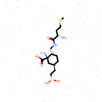 CSCC[C@H](N)C(=O)NC[C@@H]1CC[C@@H](CCB(O)O)C[C@]1(N)C(=O)O